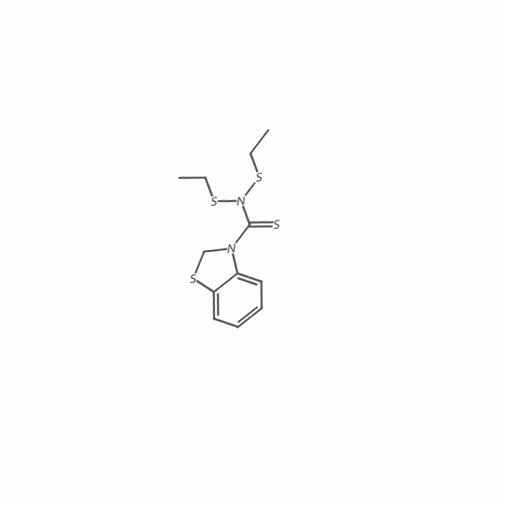 CCSN(SCC)C(=S)N1CSc2ccccc21